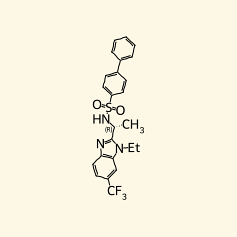 CCn1c([C@@H](C)NS(=O)(=O)c2ccc(-c3ccccc3)cc2)nc2ccc(C(F)(F)F)cc21